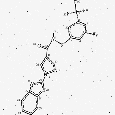 CN(Cc1cc(F)cc(C(F)(F)F)c1)C(=O)c1cnn(-c2nc3ccccc3s2)c1